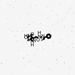 Cn1c(=O)[nH]c(=O)c2c(CC(=O)Nc3nc(-c4ccccc4)cs3)n[nH]c21